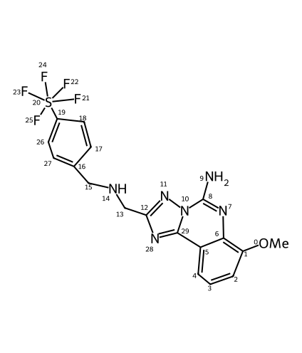 COc1cccc2c1nc(N)n1nc(CNCc3ccc(S(F)(F)(F)(F)F)cc3)nc21